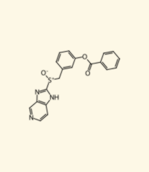 O=C(Oc1cccc(C[S+]([O-])c2nc3cnccc3[nH]2)c1)c1ccccc1